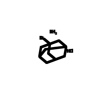 CCC12CC3CC(CC(C3)C1)C2.Cl.N